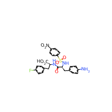 Nc1ccc(C[C@H](NS(=O)(=O)c2ccc([N+](=O)[O-])cc2)C(=O)N[C@@H](Cc2ccc(F)cc2)C(=O)O)cc1